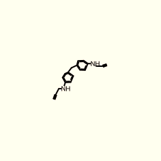 C#CCNc1ccc(Cc2ccc(NCC#C)cc2)cc1